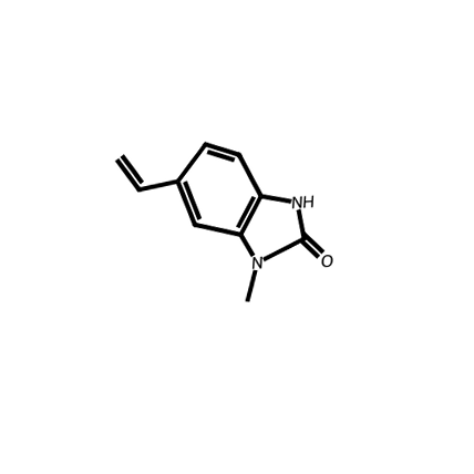 C=Cc1ccc2[nH]c(=O)n(C)c2c1